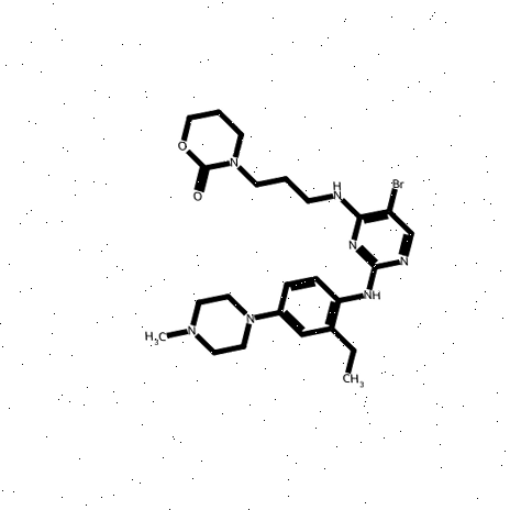 CCc1cc(N2CCN(C)CC2)ccc1Nc1ncc(Br)c(NCCCN2CCCOC2=O)n1